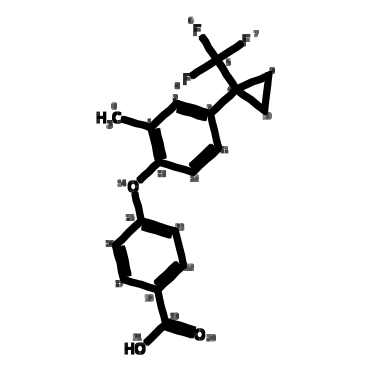 Cc1cc(C2(C(F)(F)F)CC2)ccc1Oc1ccc(C(=O)O)cc1